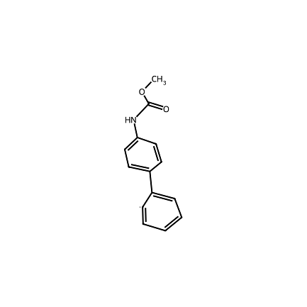 COC(=O)Nc1ccc(-c2[c]cccc2)cc1